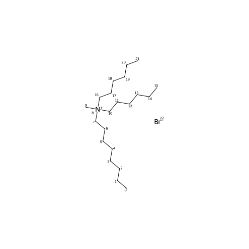 CCCCCCCC[N+](C)(CCCCCC)CCCCCC.[Br-]